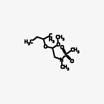 CCC(C)OC(CN(C)S(C)(=O)=O)OC